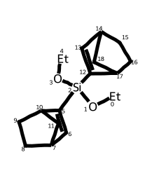 CCO[Si](OCC)(C1=CC2CCC1C2)C1=CC2CCC1C2